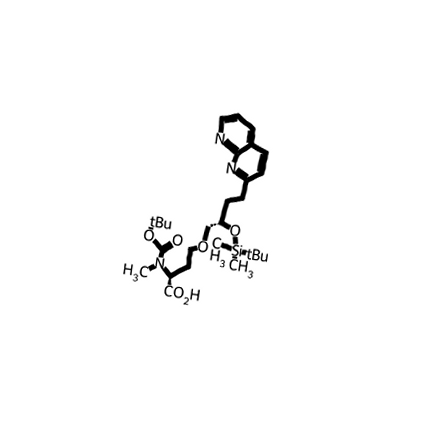 CN(C(=O)OC(C)(C)C)[C@@H](CCOC[C@H](CCc1ccc2cccnc2n1)O[Si](C)(C)C(C)(C)C)C(=O)O